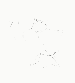 O[C@H]1C[C@H]2C[C@@H]1[C@@H](OCc1c(-c3c(Cl)cccc3Cl)noc1C1CC1)C2